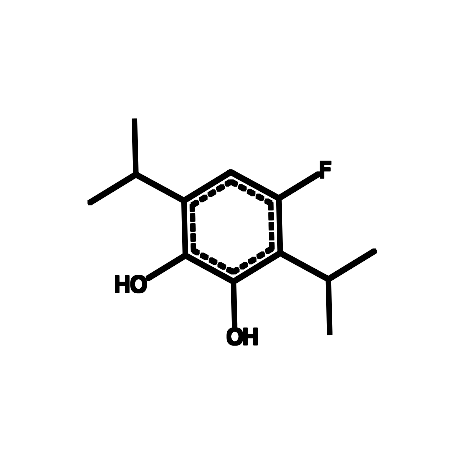 CC(C)c1cc(F)c(C(C)C)c(O)c1O